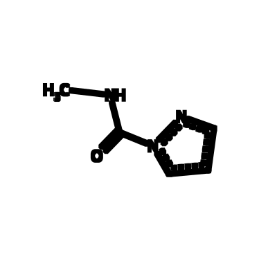 CNC(=O)n1cccn1